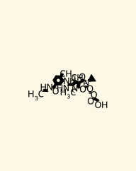 CCCNC(=O)c1ccc(C)c(NC(=N)c2c(C)c(C(=O)N(C(=O)OCOC(=O)CO)C3CC3)cn2C)c1